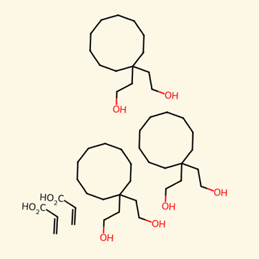 C=CC(=O)O.C=CC(=O)O.OCCC1(CCO)CCCCCCCCC1.OCCC1(CCO)CCCCCCCCC1.OCCC1(CCO)CCCCCCCCC1